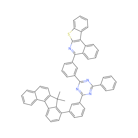 CC1(C)c2ccc3ccccc3c2-c2cccc(-c3cccc(-c4nc(-c5ccccc5)nc(-c5cccc(-c6nc7sc8ccccc8c7c7ccccc67)c5)n4)c3)c21